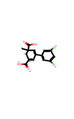 CC1(C(=O)O)C=C(c2cc(Cl)cc(Cl)c2)C=C(C(=O)O)C1